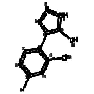 Cc1ccc(-c2cn[nH]c2O)c(Cl)c1